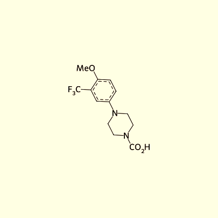 COc1ccc(N2CCN(C(=O)O)CC2)cc1C(F)(F)F